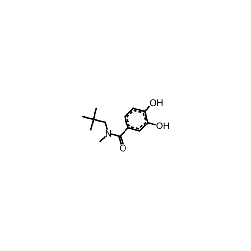 CN(CC(C)(C)C)C(=O)c1ccc(O)c(O)c1